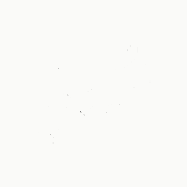 COc1nc(-c2cccnc2)nc2ccc(-c3cccc(C)c3)cc12